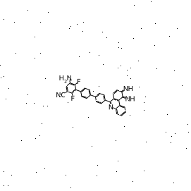 N#Cc1cc(N)c(F)c(-c2ccc(-c3ccc(-c4nc5ccccc5c5c4C=CC(=N)C5=N)cc3)cc2)c1F